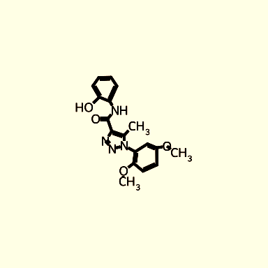 COc1ccc(OC)c(-n2nnc(C(=O)Nc3ccccc3O)c2C)c1